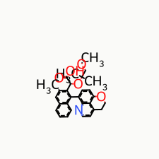 COCC(C)(C)O[C@H](C(=O)O)c1c(C)cc2ccccc2c1-c1ccc2c3c(ccnc13)CCO2